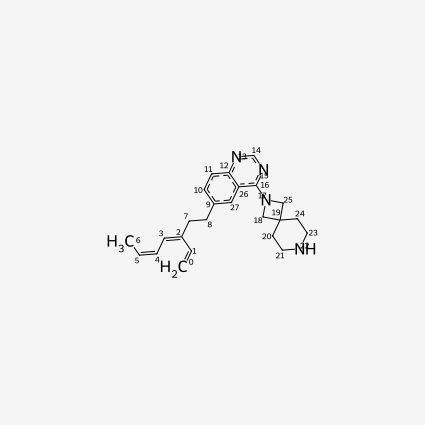 C=C/C(=C\C=C/C)CCc1ccc2ncnc(N3CC4(CCNCC4)C3)c2c1